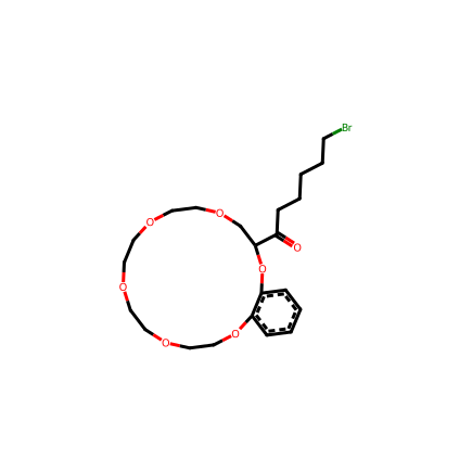 O=C(CCCCCBr)C1COCCOCCOCCOCCOc2ccccc2O1